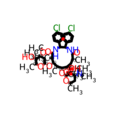 CO[C@]1(C)C[C@@H](C)C(=O)NC(c2ccc(Cl)cc2)C(c2ccc(Cl)cc2)NC(=O)[C@H](C)[C@@H](O[C@H]2C[C@@](C)(OC)[C@@H](O)[C@H](C)O2)[C@H](C)[C@H]1O[C@@H]1O[C@H](C)C[C@H](N(C)C)[C@H]1O